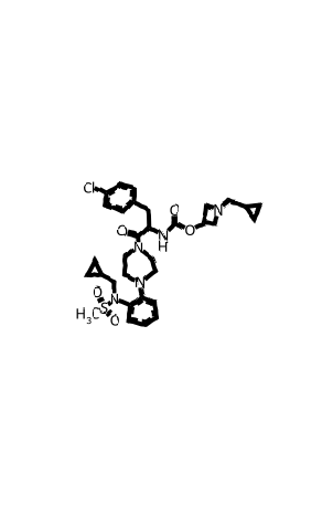 CS(=O)(=O)N(CC1CC1)c1ccccc1N1CCN(C(=O)C(Cc2ccc(Cl)cc2)NC(=O)OC2CN(CC3CC3)C2)CC1